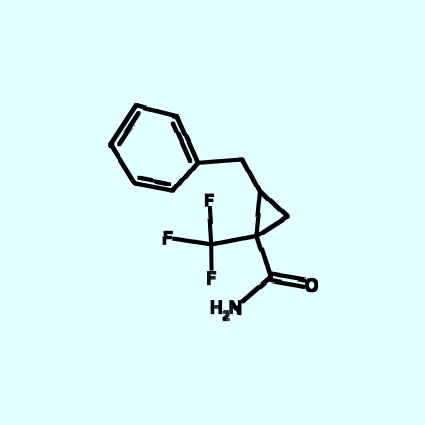 NC(=O)C1(C(F)(F)F)CC1Cc1ccccc1